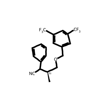 C[C@H](COCc1cc(C(F)(F)F)cc(C(F)(F)F)c1)C(C#N)c1ccccc1